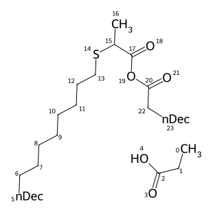 CCC(=O)O.CCCCCCCCCCCCCCCCCCSC(C)C(=O)OC(=O)CCCCCCCCCCC